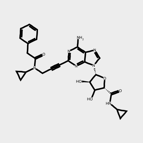 Nc1nc(C#CCN(C(=O)Cc2ccccc2)C2CC2)nc2c1ncn2[C@@H]1O[C@H](C(=O)NC2CC2)C(O)[C@H]1O